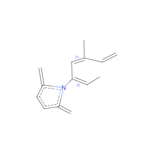 C=C/C(C)=C\C(=C/C)n1c(=C)ccc1=C